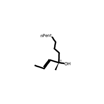 CC=C[C@@](C)(O)CCCCCCCC